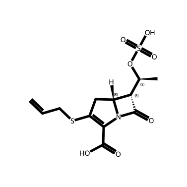 C=CCSC1=C(C(=O)O)N2C(=O)[C@@H]([C@H](C)OS(=O)(=O)O)[C@H]2C1